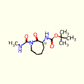 CNC(=O)N1CCCC[C@H](NC(=O)OC(C)(C)C)C1=O